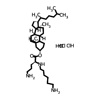 CC(C)CCC[C@@H](C)[C@H]1CC[C@H]2[C@@H]3CC=C4C[C@@H](OC(=O)[C@H](CCCN)NCCCCCCN)CC[C@]4(C)[C@H]3CC[C@]12C.Cl.Cl.Cl